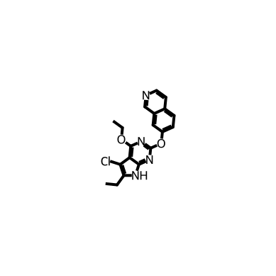 CCOc1nc(Oc2ccc3ccncc3c2)nc2[nH]c(CC)c(Cl)c12